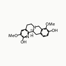 COc1cc2c(nc1O)[C@@H]1Cc3ccc(O)c(OC)c3CN1CC2